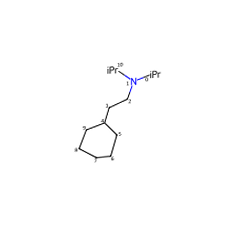 CC(C)N(CCC1CCCCC1)C(C)C